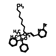 CCCCCCCCC(/C=C/c1cccc(Br)n1)O[Si](c1ccccc1)(c1ccccc1)C(C)(C)C